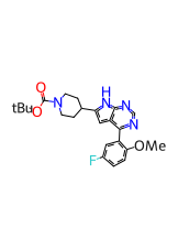 COc1ccc(F)cc1-c1ncnc2[nH]c(C3CCN(C(=O)OC(C)(C)C)CC3)cc12